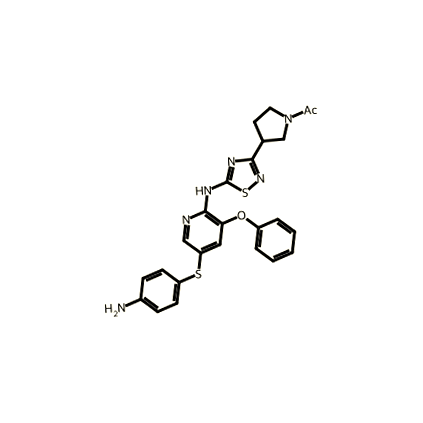 CC(=O)N1CCC(c2nsc(Nc3ncc(Sc4ccc(N)cc4)cc3Oc3ccccc3)n2)C1